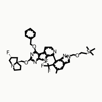 Cc1cc2cn(COCC[Si](C)(C)C)nc2c(-c2nccc3c2sc2nc(OC[C@@]45CCCN4C[C@H](F)C5)nc(OCc4ccccc4)c23)c1C(F)(F)F